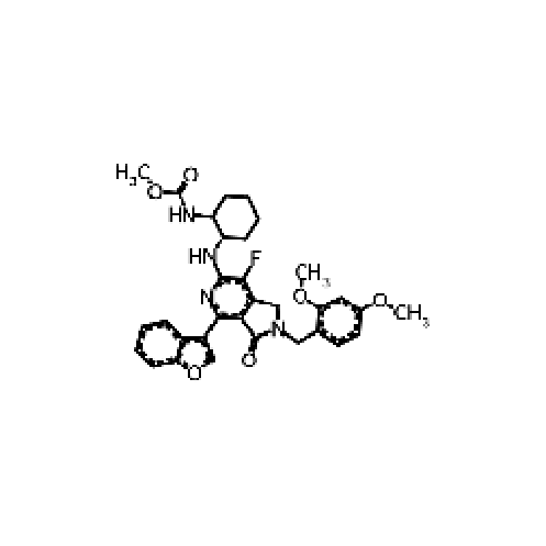 COC(=O)N[C@H]1CCCC[C@H]1Nc1nc(-c2coc3ccccc23)c2c(c1F)CN(Cc1ccc(OC)cc1OC)C2=O